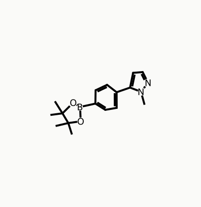 Cn1nccc1-c1ccc(B2OC(C)(C)C(C)(C)O2)cc1